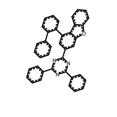 c1ccc(-c2nc(-c3ccccc3)nc(-c3cc(-c4ccccc4-c4ccccc4)c4c(c3)oc3ccccc34)n2)cc1